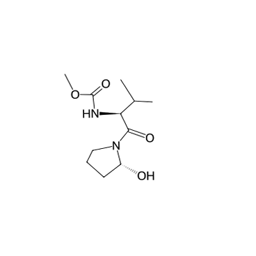 COC(=O)N[C@H](C(=O)N1CCC[C@H]1O)C(C)C